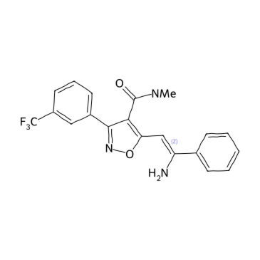 CNC(=O)c1c(-c2cccc(C(F)(F)F)c2)noc1/C=C(\N)c1ccccc1